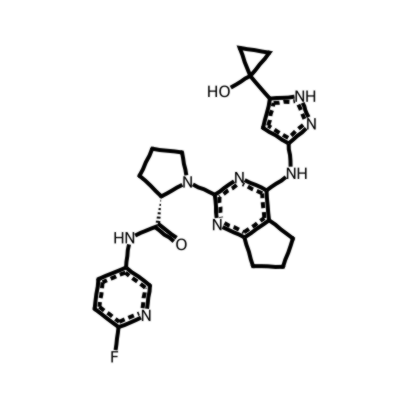 O=C(Nc1ccc(F)nc1)[C@@H]1CCCN1c1nc2c(c(Nc3cc(C4(O)CC4)[nH]n3)n1)CCC2